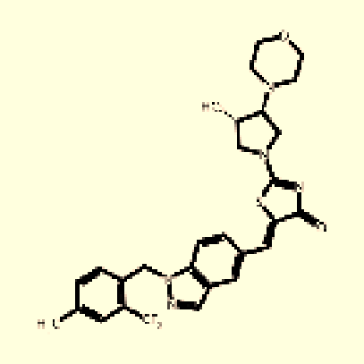 Cc1ccc(Cn2ncc3cc(/C=C4\SC(N5C[C@H](O)[C@@H](N6CCOCC6)C5)=NC4=O)ccc32)c(C(F)(F)F)c1